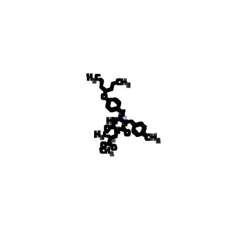 CCCC(CCC)Oc1ccc(/N=c2\[nH]c(=O)n(C[C@H](C)C(=O)OC)c(=O)n2Cc2ccc(C)cc2)cc1